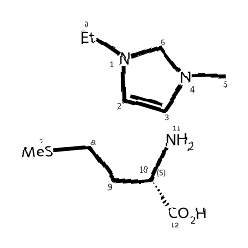 CCN1C=CN(C)C1.CSCC[C@H](N)C(=O)O